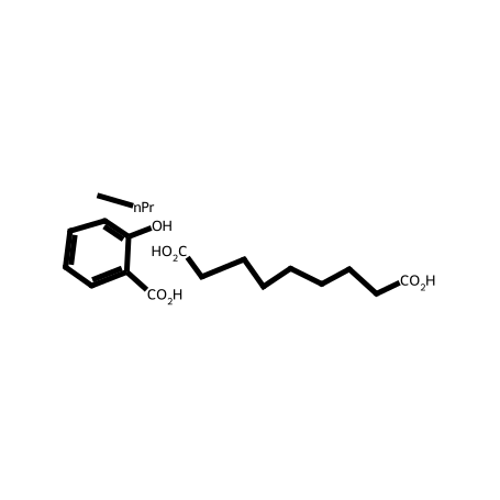 CCCC.O=C(O)CCCCCCCC(=O)O.O=C(O)c1ccccc1O